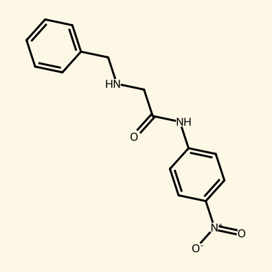 O=C(CNCc1ccccc1)Nc1ccc([N+](=O)[O-])cc1